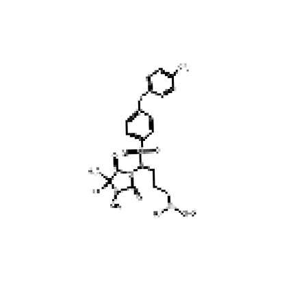 CN1C(=O)N(C(CCCN(O)C=O)S(=O)(=O)c2ccc(Oc3ccc(C(F)(F)F)cc3)cc2)C(=O)C1(C)C